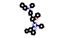 c1ccc(C2N=C(c3ccc(-c4ccc(N(c5ccccc5)c5ccc6ccccc6c5)cc4)c4c3oc3ccccc34)N=C(c3cc4ccccc4c4ccccc34)N2)cc1